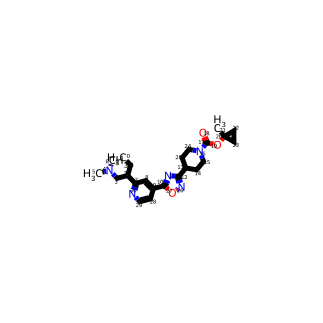 CCC(CN(C)C)c1cc(-c2nc(C3CCN(C(=O)OC4(C)CC4)CC3)no2)ccn1